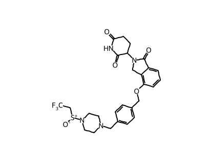 O=C1CCC(N2Cc3c(OCc4ccc(CN5CCN([S@@+]([O-])CC(F)(F)F)CC5)cc4)cccc3C2=O)C(=O)N1